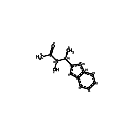 CC(=O)N(O)[C@@H](C)c1cc2ccccc2s1